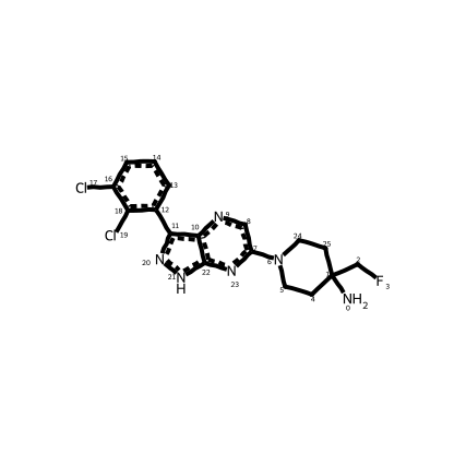 NC1(CF)CCN(c2cnc3c(-c4cccc(Cl)c4Cl)n[nH]c3n2)CC1